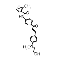 Cc1occc1C(=O)Nc1ccc(C(=O)/C=C/c2ccc(N(C)CCO)cc2)cc1